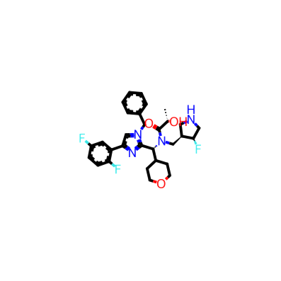 C[C@H](O)C(=O)N(C[C@H]1CNC[C@H]1F)[C@@H](c1nc(-c2cc(F)ccc2F)cn1Cc1ccccc1)C1CCOCC1